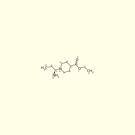 CCOC(=O)C1CCN([C@@H](N)CC)CC1